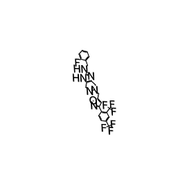 Fc1ccccc1CNc1nc2c([nH]1)C=NN(Cc1cc(-c3ccc(C(F)(F)F)cc3C(F)(F)F)no1)C2